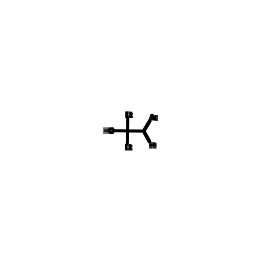 CCC(C(C)=O)C(O)(CC)CC